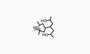 CC(O)C[C](CC(C)O)C(CC(C)O)CC(C)O